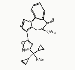 CNC(c1noc(-c2ncn3c2CN(C)C(=O)c2ccccc2-3)n1)(C1CC1)C1CC1